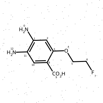 Nc1cc(OCCF)c(C(=O)O)cc1N